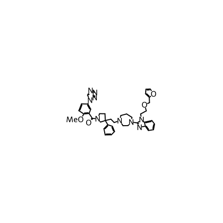 COc1ccc(-n2cnnn2)cc1C(=O)N1CCC(CCN2CCCN(c3nc4ccccc4n3CCOCc3ccco3)CC2)(c2ccccc2)C1